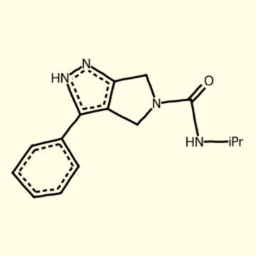 CC(C)NC(=O)N1Cc2n[nH]c(-c3ccccc3)c2C1